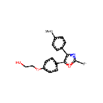 COc1ccc(-c2nc(C(C)C)oc2-c2ccc(OCCO)cc2)cc1